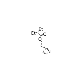 CCC(CC)C(=O)OCCn1ccnc1